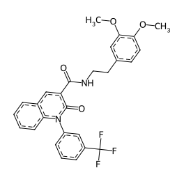 COc1ccc(CCNC(=O)c2cc3ccccc3n(-c3cccc(C(F)(F)F)c3)c2=O)cc1OC